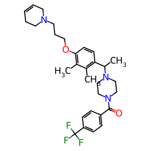 Cc1c(OCCCN2CC=CCC2)ccc(C(C)N2CCN(C(=O)c3ccc(C(F)(F)F)cc3)CC2)c1C